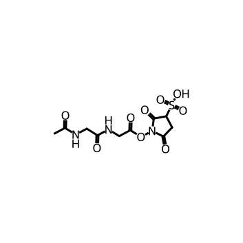 CC(=O)NCC(=O)NCC(=O)ON1C(=O)CC(S(=O)(=O)O)C1=O